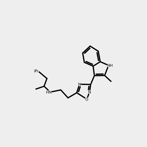 Cc1[nH]c2ccccc2c1-c1noc(CCNC(C)CC(C)C)n1